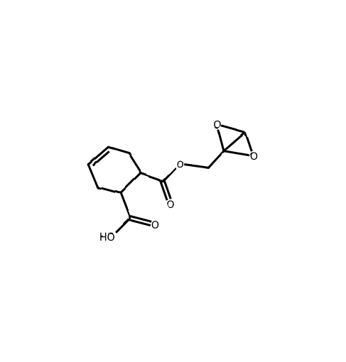 O=C(O)C1CC=CCC1C(=O)OCC12OC1O2